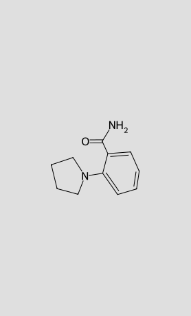 NC(=O)c1ccccc1N1CCCC1